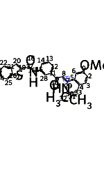 COc1ccc2c(c1)/C(=C/C(=O)c1cccc(NC(=O)c3cc4ccccc4s3)c1)NC(C)(C)C2